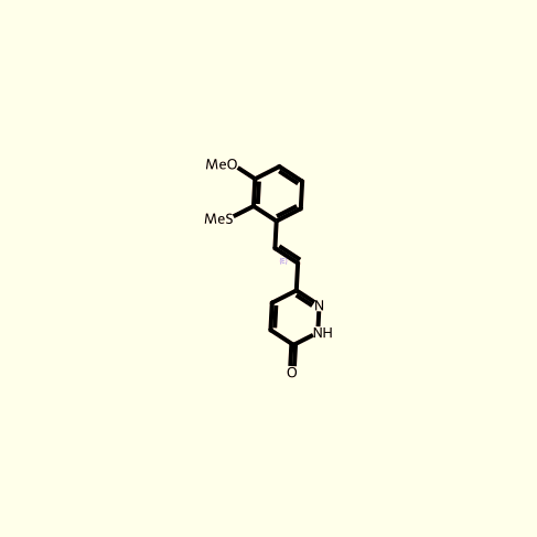 COc1cccc(/C=C/c2ccc(=O)[nH]n2)c1SC